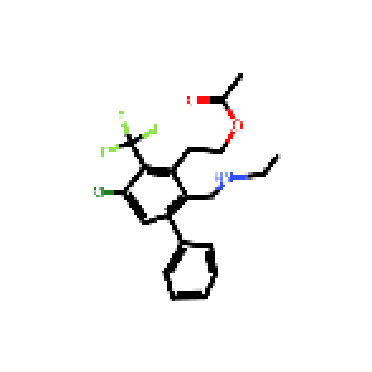 CCNCc1c(-c2ccccc2)cc(Cl)c(C(F)(F)F)c1CCOC(C)=O